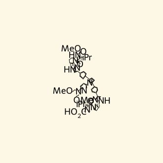 COCCN(CCOC)c1ccc(-n2c(-c3ccc(-c4c[nH]c([C@@H]5CCCN5C(=O)[C@@H](NC(=O)OC)C(C)C)n4)cc3)ccc2-c2ccc(-c3c[nH]c([C@@H]4CCCN4C(=O)[C@H](C(C)C)N(C)C(=O)O)n3)cc2)cn1